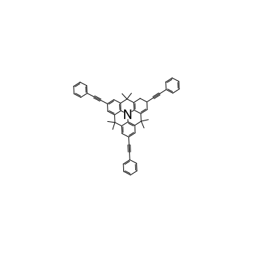 CC1(C)C2=CC(C#Cc3ccccc3)CC3=C2N2c4c1cc(C#Cc1ccccc1)cc4C(C)(C)c1cc(C#Cc4ccccc4)cc(c12)C3(C)C